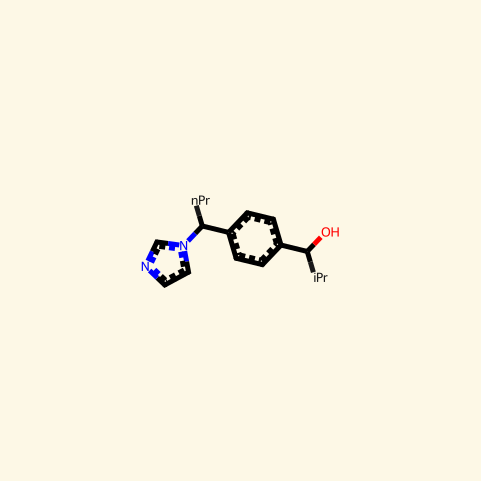 CCCC(c1ccc(C(O)C(C)C)cc1)n1ccnc1